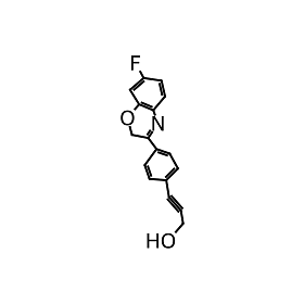 OCC#Cc1ccc(C2=Nc3ccc(F)cc3OC2)cc1